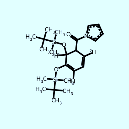 [2H]C1=CC([2H])=C(O[Si](C)(C)C(C)(C)C)C([2H])(O[Si](C)(C)C(C)(C)C)C1C(=O)n1cccc1